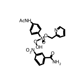 CC(=O)Nc1ccc([As](=O)(OO)OCc2ccccn2)cc1.NC(=O)c1cccc([N+](=O)[O-])c1